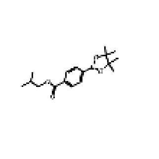 CC(C)COC(=O)c1ccc(B2OC(C)(C)C(C)(C)O2)cc1